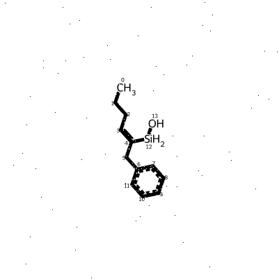 CCCC=C(Cc1ccccc1)[SiH2]O